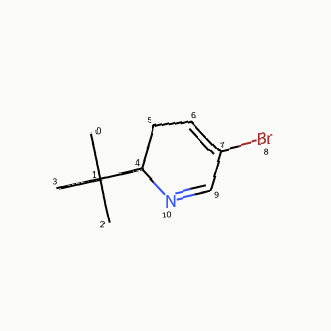 CC(C)(C)C1CC=C(Br)C=N1